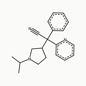 CC(C)N1CCC(C(C#N)(c2ccccc2)c2ccccn2)C1